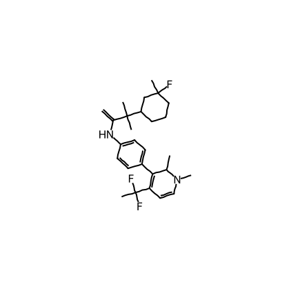 C=C(Nc1ccc(C2=C(C(C)(F)F)C=CN(C)C2C)cc1)C(C)(C)C1CCCC(C)(F)C1